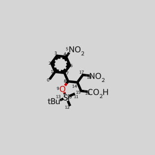 Cc1ccc([N+](=O)[O-])cc1C(O[Si](C)(C)C(C)(C)C)C(CC(=O)O)C[N+](=O)[O-]